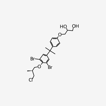 C[C@H](CCl)COc1c(Br)cc(C(C)(C)c2ccc(OC[C@@H](O)CO)cc2)cc1Br